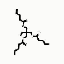 CCCCC(=O)OCC(CC)(COC(=O)CCCC)COC(=O)CCCC